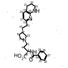 O=C(N[C@H](CCN1CC[C@@H](CCc2ccc3c(n2)NCCC3)C1)C(=O)O)c1ccccc1